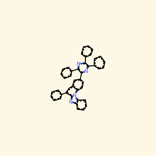 c1ccc(-c2nc(-c3ccccc3)c(-c3ccc4c(c3)cc(-c3ccccc3)c3nc5ccccc5n34)nc2-c2ccccc2)cc1